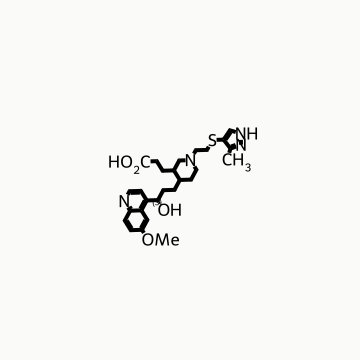 COc1ccc2nccc([C@@H](O)CCC3CCN(CCSc4c[nH]nc4C)CC3CCC(=O)O)c2c1